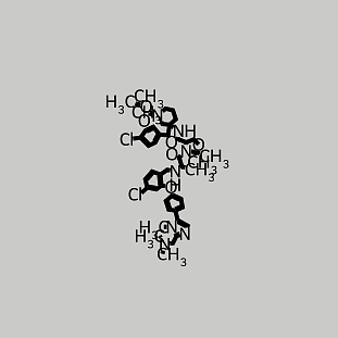 CC(NCc1ccc(Cl)cc1Oc1ccc(-c2cnc(CN(C)C)n2C)cc1)C(=O)N1C(C(=O)NC2(Cc3ccc(Cl)cc3)CCCN(C(=O)OC(C)(C)C)C2)COC1(C)C